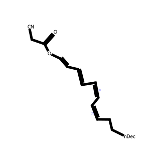 CCCCCCCCCCCC/C=C\C=C/C=CC=COC(=O)CC#N